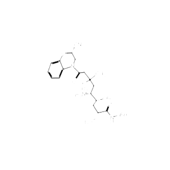 CCCCNC(=O)[C@H](C)C[C@H](O)[C@@H](N)CC(C)(C)CC(=O)N1C[C@H](C#N)Oc2ccccc21